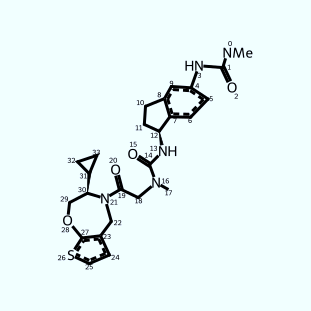 CNC(=O)Nc1ccc2c(c1)CC[C@@H]2NC(=O)N(C)CC(=O)N1Cc2ccsc2OC[C@H]1C1CC1